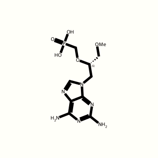 COC[C@H](Cn1cnc2c(N)nc(N)nc21)OCP(=O)(O)O